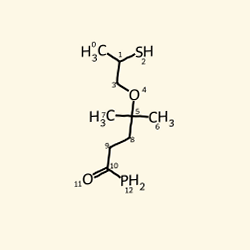 CC(S)COC(C)(C)CCC(=O)P